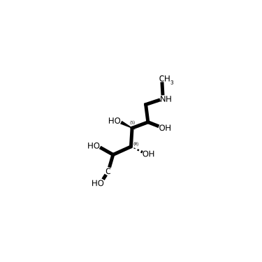 CNCC(O)[C@H](O)[C@H](O)C(O)CO